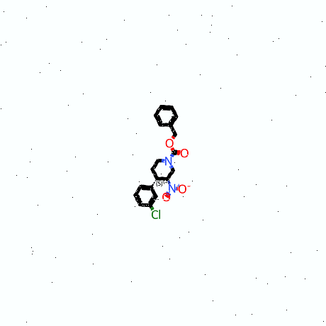 O=C(OCc1ccccc1)N1CC[C@@H](c2cccc(Cl)c2)[C@H]([N+](=O)[O-])C1